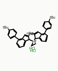 CCCCC1=Cc2c(-c3ccc(C(C)(C)C)cc3)cccc2[CH]1[Hf]1([CH]2C(CCCC)=Cc3c(-c4ccc(C(C)(C)C)cc4)cccc32)[CH2][CH2]1.Cl.Cl